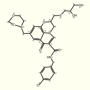 O=C(NCc1ccc(Cl)cc1)c1cn2c3c(cc(CN4CCOCC4)cc3c1=O)OC(CSCC(O)CO)C2